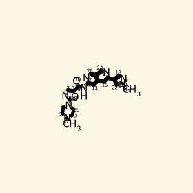 CN1CCN(c2ncc(C(=O)Nc3cc4cc(-c5cnn(C)c5)ncc4cn3)o2)CC1